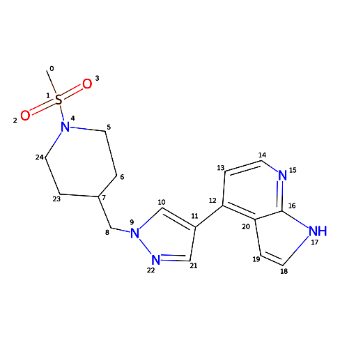 CS(=O)(=O)N1CCC(Cn2cc(-c3ccnc4[nH]ccc34)cn2)CC1